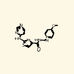 COC1=CC=[PH](CNC(=O)c2csc(Nc3ccncn3)n2)C=C1